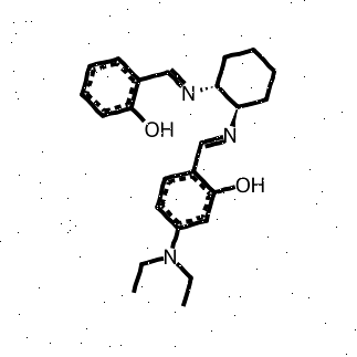 CCN(CC)c1ccc(C=N[C@@H]2CCCC[C@H]2N=Cc2ccccc2O)c(O)c1